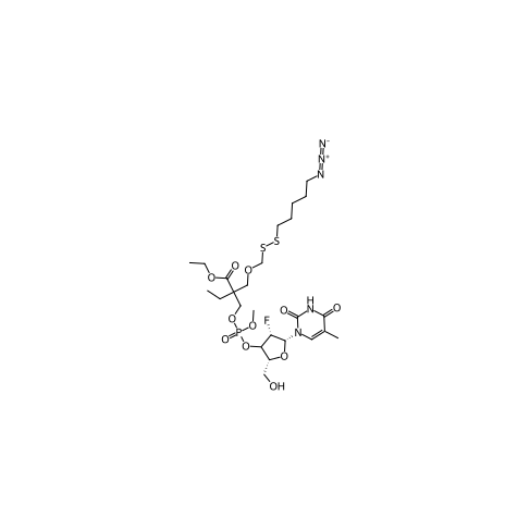 CCOC(=O)C(CC)(COCSSCCCCCN=[N+]=[N-])COP(=O)(OC)OC1[C@@H](CO)O[C@@H](n2cc(C)c(=O)[nH]c2=O)[C@H]1F